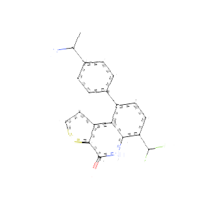 CC(N)c1ccc(-c2ccc(C(F)F)c3[nH]c(=O)c4sccc4c23)cc1